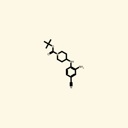 CC(C)(C)OC(=O)N1CCC(Nc2ccc(C#N)cc2N)CC1